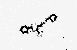 [CH2][C@@H](O)[C@@H](OC(=O)c1ccccc1)[C@H](F)C=NOCc1ccccc1